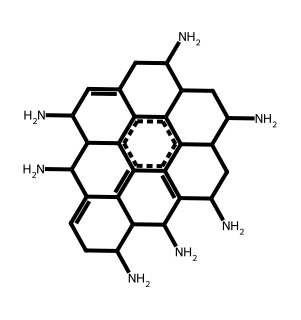 NC1CC2c3c4c5c6c7c3=C1C(N)C1C=7C(=CCC1N)C(N)C6C(N)C=C5CC(N)C4CC2N